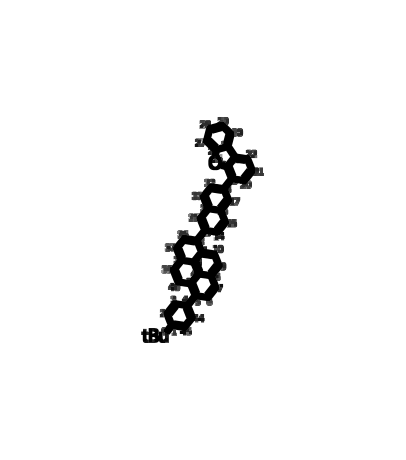 CC(C)(C)c1ccc(-c2ccc3ccc4c(-c5ccc6cc(-c7cccc8c7oc7ccccc78)ccc6c5)ccc5ccc2c3c54)cc1